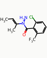 C/C=C(\C)N(N)C(=O)c1c(Cl)cccc1C(F)(F)F